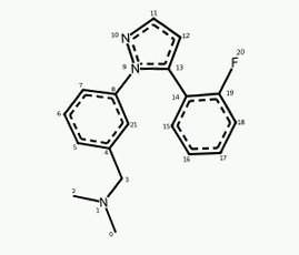 CN(C)Cc1cccc(-n2nccc2-c2ccccc2F)c1